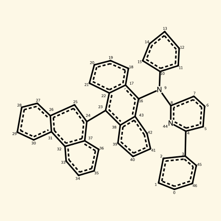 c1ccc(-c2cccc(N(c3ccccc3)c3c4ccccc4c(-c4cc5ccccc5c5ccccc45)c4ccccc34)n2)cc1